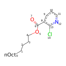 CCCCCCCCCCCCOC(=O)c1cccnc1Cl